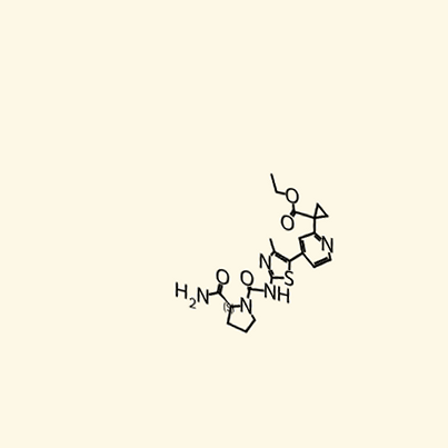 CCOC(=O)C1(c2cc(-c3sc(NC(=O)N4CCC[C@H]4C(N)=O)nc3C)ccn2)CC1